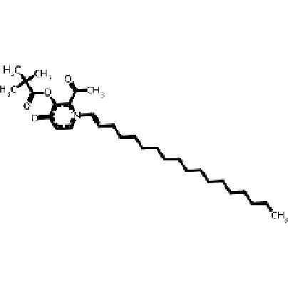 CCCCCCCCCCCCCCCCC=Cn1ccc(=O)c(OC(=O)C(C)(C)C)c1C(C)=O